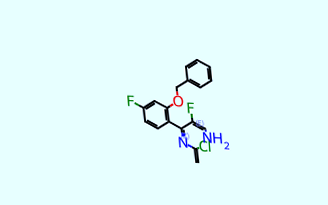 C=C(Cl)/N=C(\C(F)=C/N)c1ccc(F)cc1OCc1ccccc1